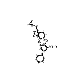 O=Cc1cc(-c2ccccc2)cnc1Oc1ccc2c(nnn2CC2CC2)c1Br